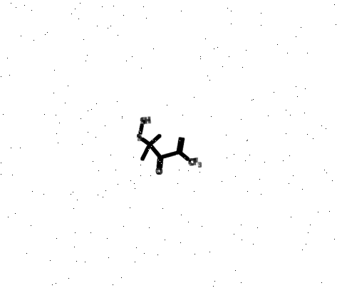 C=C(C(=O)C(C)(C)SS)C(F)(F)F